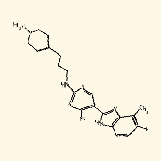 CCc1nc(NCCCC2CCN(C)CC2)ncc1-c1nc2c(C)c(F)ccc2[nH]1